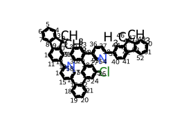 CC1(C)c2ccccc2-c2ccc(-c3ccc(-c4ccccc4-c4cc(Cl)cc(-c5ccccc5-c5ccc(-c6ccc7c(c6)C(C)(C)c6ccccc6-7)nc5)c4)cn3)cc21